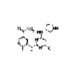 Cc1ccc(C(N)=O)cc1Nc1nc(Cl)nc(N[C@@H]2CCNC2)n1